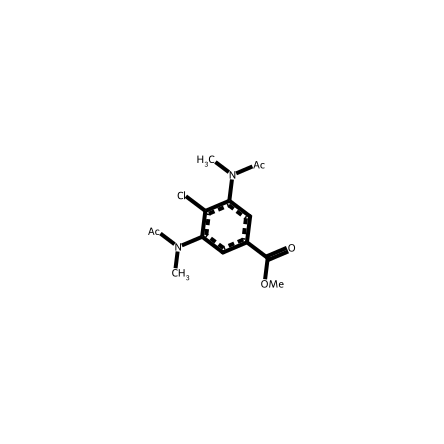 COC(=O)c1cc(N(C)C(C)=O)c(Cl)c(N(C)C(C)=O)c1